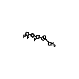 C=CCCC1CCC(c2ccc(-c3ccc(-c4cccc(F)c4F)cc3)c(F)c2)CO1